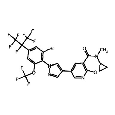 CN(C(=O)c1cc(-c2cnn(-c3c(Br)cc(C(F)(C(F)(F)F)C(F)(F)F)cc3OC(F)(F)F)c2)cnc1Cl)C1CC1